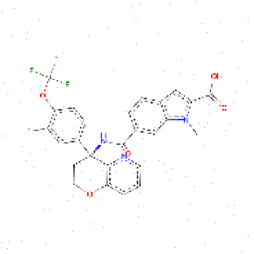 Cn1c(C(=O)O)cc2ccc(C(=O)N[C@]3(c4ccc(OC(F)(F)F)c(F)c4)CCOc4cccnc43)cc21